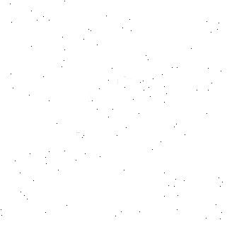 CCCC([S])c1ccccc1C(F)(F)F